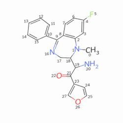 CN1c2cc(F)ccc2C(c2ccccc2)=NCC1C(N)C(=O)c1ccoc1